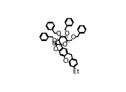 CCc1ccc(Cc2cc3c(cc2Cl)OC(=O)[C@]32O[C@H](COCc3ccccc3)[C@@H](OCc3ccccc3)[C@H](OCc3ccccc3)[C@H]2OCc2ccccc2)cc1